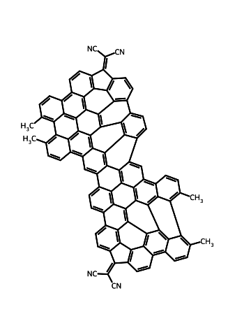 Cc1ccc2c3ccc4c5c6c(ccc7c8ccc9c%10cc%11c%12ccc(C)c%13c%14c(C)ccc%15c%16ccc%17c%18c%19c(ccc%20c%21ccc%22c%23cc%24c%25ccc(C)c%26c1c2c1c(c35)c(c76)c2c8c9c(c%23c%10c3c%22c%21c5c(c%20%19)c(c%16%18)c(c%15%14)c(c%12%13)c5c%113)c%24c2c1c%25%26)C%17=C(C#N)C#N)C4=C(C#N)C#N